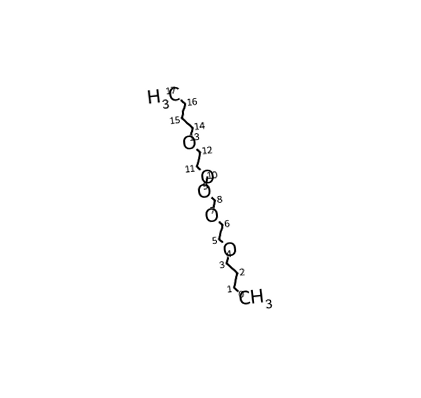 CCCCOCCOCOOCCOCCCC